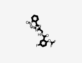 O=C(NCc1n[nH]c(-c2ccccc2[N+](=O)[O-])n1)c1cc(F)ccc1OC(F)F